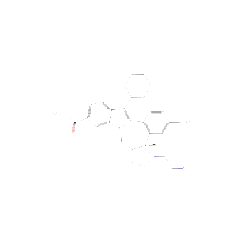 COC(=O)c1ccc2c(C3CCCCC3)c3n(c2c1)C[C@@H]1CCN(CCN)[C@H]1c1cc(OC)ccc1-3